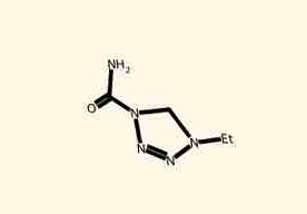 [CH2]CN1CN(C(N)=O)N=N1